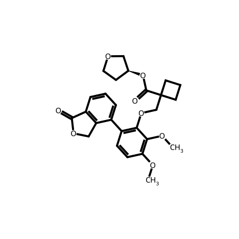 COc1ccc(-c2cccc3c2COC3=O)c(OCC2(C(=O)O[C@H]3CCOC3)CCC2)c1OC